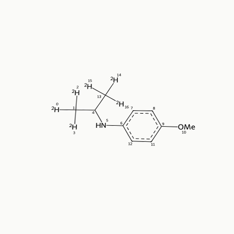 [2H]C([2H])([2H])C(Nc1ccc(OC)cc1)C([2H])([2H])[2H]